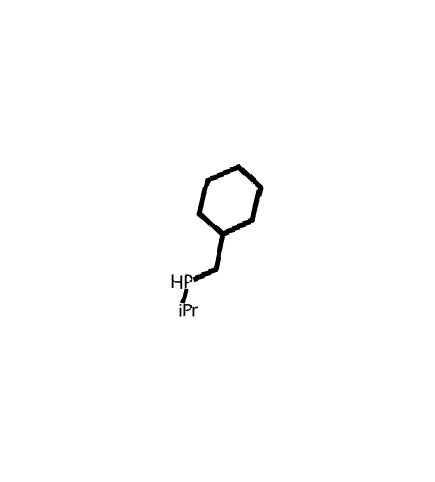 CC(C)PCC1CCCCC1